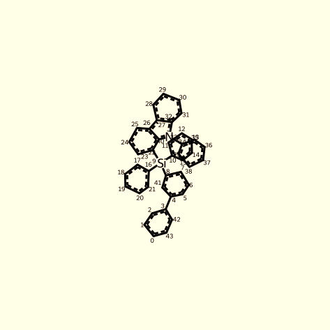 c1ccc(-c2cccc([Si](c3ccccc3)(c3ccccc3)c3cccc4c5ccccc5n(-c5ccccc5)c34)c2)cc1